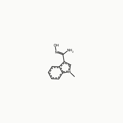 Cn1[c]c(C(N)=NO)c2ccccc21